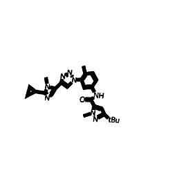 Cc1ccc(NC(=O)c2cc(C(C)(C)C)nn2C)cc1-n1cc(-c2cnc(C3CC3)n2C)nn1